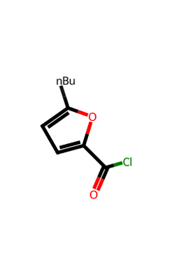 CCCCc1ccc(C(=O)Cl)o1